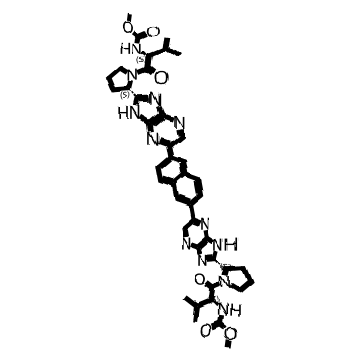 COC(=O)N[C@H](C(=O)N1CCC[C@H]1c1nc2ncc(-c3ccc4cc(-c5cnc6nc([C@@H]7CCCN7C(=O)[C@@H](NC(=O)OC)C(C)C)[nH]c6n5)ccc4c3)nc2[nH]1)C(C)C